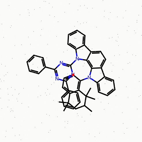 CC1CC(C)(C)c2cccc(-n3c4ccccc4c4ccc5c6ccccc6n(-c6nc(-c7ccccc7)nc(-c7ccccc7)n6)c5c43)c2C1(C)C